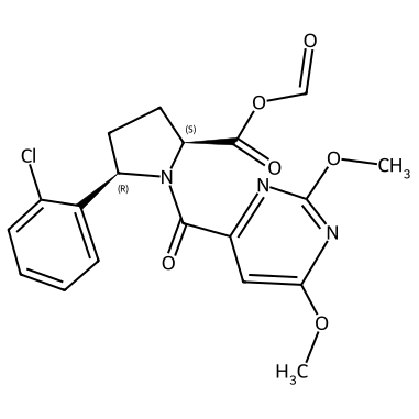 COc1cc(C(=O)N2[C@@H](c3ccccc3Cl)CC[C@H]2C(=O)OC=O)nc(OC)n1